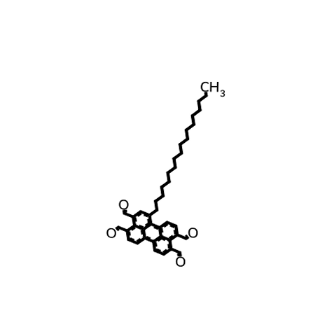 CCCCCCCCCCCCCCCCCCc1cc(C=O)c2c(C=O)ccc3c4ccc(C=O)c5c(C=O)ccc(c1c23)c54